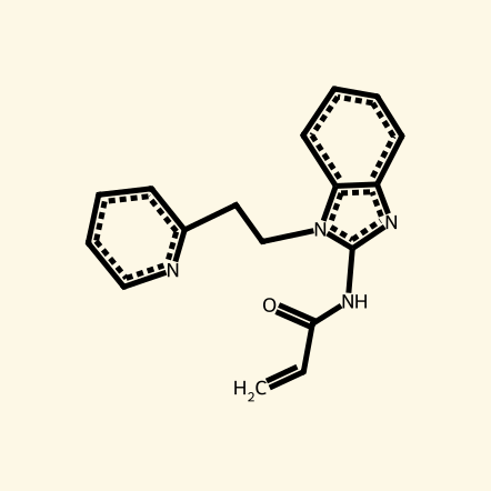 C=CC(=O)Nc1nc2ccccc2n1CCc1ccccn1